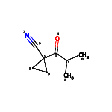 CC(C)C(=O)C1(C#N)CC1